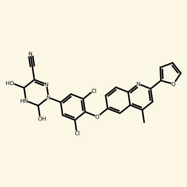 Cc1cc(-c2ccco2)nc2ccc(Oc3c(Cl)cc(N4N=C(C#N)C(O)NC4O)cc3Cl)cc12